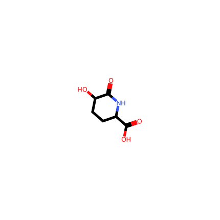 O=C1NC(C(=O)O)CCC1O